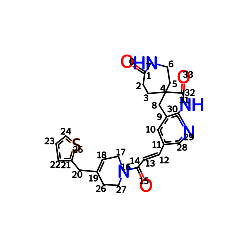 O=C1CCC2(CCN1)Cc1cc(C=CC(=O)N3CC=C(Cc4cccs4)CC3)cnc1NC2=O